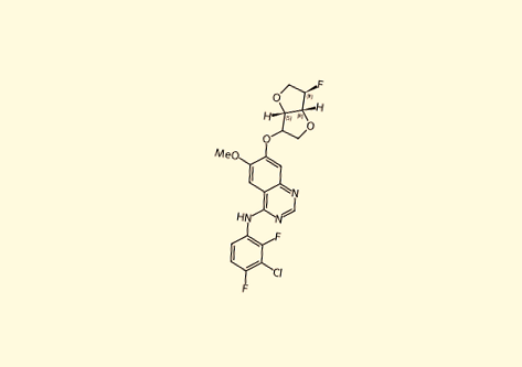 COc1cc2c(Nc3ccc(F)c(Cl)c3F)ncnc2cc1OC1CO[C@H]2[C@H](F)CO[C@@H]12